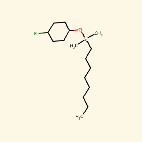 CCCCCCCC[Si](C)(C)OC1CCC(Br)CC1